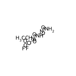 CC(C)Oc1cc(-c2nc(C(=O)NCc3cccc(C(N)=O)n3)co2)ccc1OC(F)F